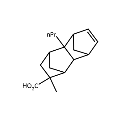 CCCC12C3C=CC(C3)C1C1CC2CC1(C)C(=O)O